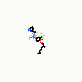 CC(C)CCCC(C)CCOc1ccc(Nc2nc(-c3cccnc3)cs2)cc1C(F)(F)F